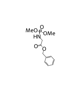 COP(=O)(NCC(=O)OCc1ccccc1)OC